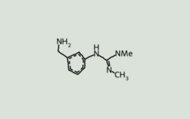 CN=C(NC)Nc1cccc(CN)c1